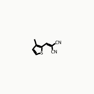 Cc1ccsc1C=C(C#N)C#N